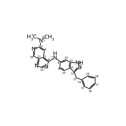 CN(C)c1cc2c(Nc3ccc4c(Cc5ccccc5)n[nH]c4c3)ncnc2cn1